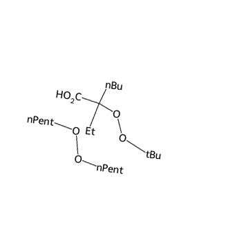 CCCCC(CC)(OOC(C)(C)C)C(=O)O.CCCCCOOCCCCC